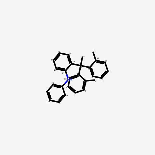 Cc1ccccc1C(C)(c1ccccc1C)c1ccccc1Nc1ccccc1